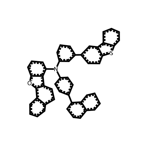 c1cc(-c2ccc3sc4ccccc4c3c2)cc(N(c2ccc(-c3cccc4ccccc34)cc2)c2cccc3oc4c5ccccc5ccc4c23)c1